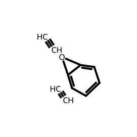 C#C.C#C.c1ccc2c(c1)O2